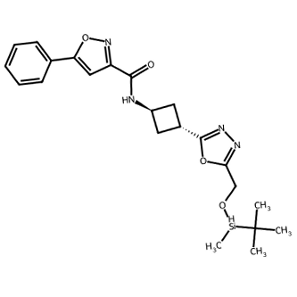 C[SiH](OCc1nnc([C@H]2C[C@H](NC(=O)c3cc(-c4ccccc4)on3)C2)o1)C(C)(C)C